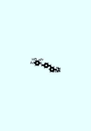 CCCc1c(SCc2ccc(Cc3cccc(-c4nnn[nH]4)c3)cc2)ccc(C(C)=O)c1O